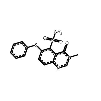 Cn1cnc2ccc(Sc3ccccc3)c(S(N)(=O)=O)c2c1=O